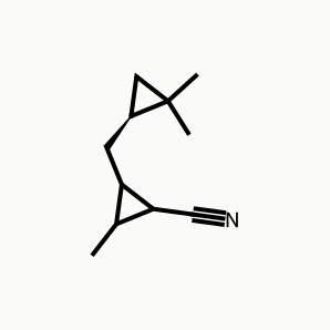 CC1C(C#N)C1C[C@H]1CC1(C)C